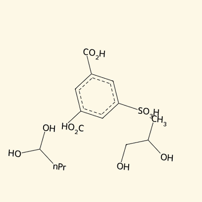 CC(O)CO.CCCC(O)O.O=C(O)c1cc(C(=O)O)cc(S(=O)(=O)O)c1